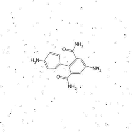 NC(=O)c1cc(N)cc(C(N)=O)c1-c1ccc(N)cc1